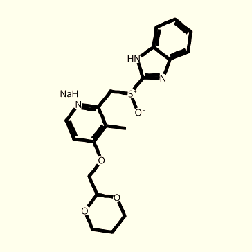 Cc1c(OCC2OCCCO2)ccnc1C[S+]([O-])c1nc2ccccc2[nH]1.[NaH]